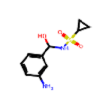 Nc1cccc(C(O)NS(=O)(=O)C2CC2)c1